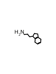 NCCCC1CCC2=C1CC=CC2